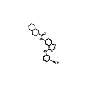 C#Cc1cccc(Nc2ncnc3ccc(NC(=O)N4CCC5CCCCC5C4)cc23)c1